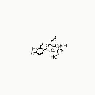 COC[C@@H](COP(O)(=S)CCO)O[C@H](COC)n1ccc(=O)[nH]c1=O